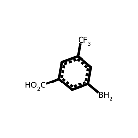 Bc1cc(C(=O)O)cc(C(F)(F)F)c1